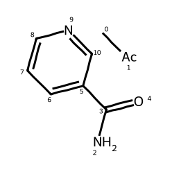 CC(C)=O.NC(=O)c1cccnc1